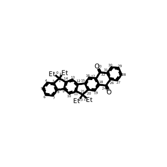 CCC1(CC)c2ccccc2-c2cc3c(cc21)-c1cc2c(cc1C3(CC)CC)C(=O)c1ccccc1C2=O